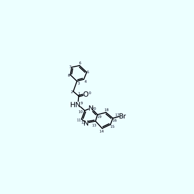 O=C(Cc1ccccc1)Nc1cnc2ccc(Br)cc2n1